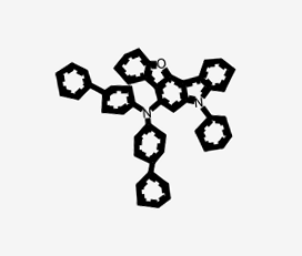 c1ccc(-c2ccc(N(c3ccc(-c4ccccc4)cc3)c3cc4c(c5ccccc5n4-c4ccccc4)c4oc5ccccc5c34)cc2)cc1